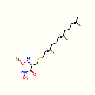 CCONC(CSC/C=C(\C)CC/C=C(\C)CCC=C(C)C)C(=O)NO